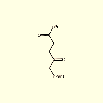 CCCCCCC(=O)CCC(=O)CCC